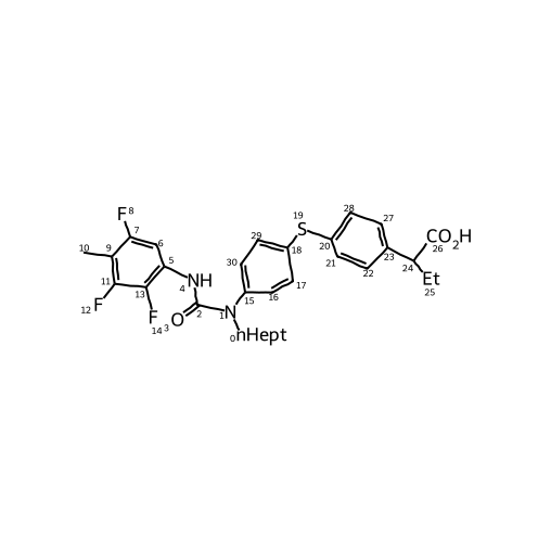 CCCCCCCN(C(=O)Nc1cc(F)c(C)c(F)c1F)c1ccc(Sc2ccc(C(CC)C(=O)O)cc2)cc1